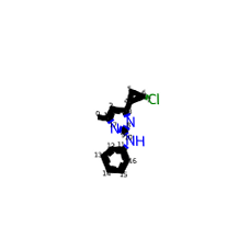 Cc1cc(C2CC2Cl)nc(Nc2ccccc2)n1